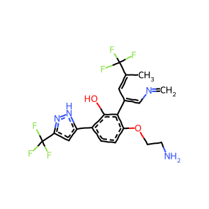 C=N/C=C(\C=C(/C)C(F)(F)F)c1c(OCCN)ccc(-c2cc(C(F)(F)F)n[nH]2)c1O